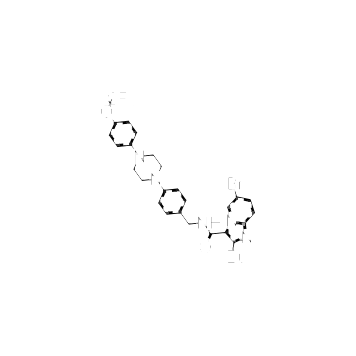 CCc1nc2ccc(Br)cn2c1C(=O)NCc1ccc(N2CCN(c3ccc(OC(F)(F)F)cc3)CC2)cc1